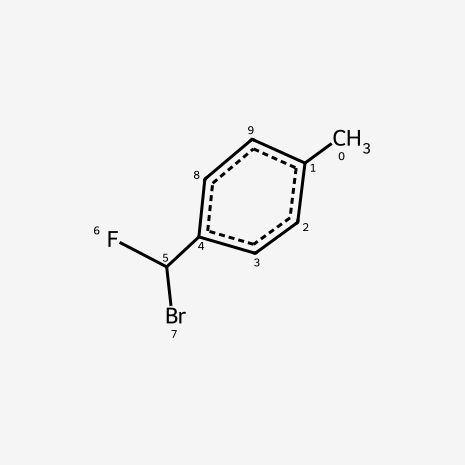 Cc1ccc(C(F)Br)cc1